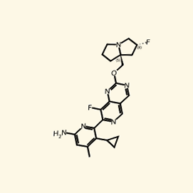 Cc1cc(N)nc(-c2ncc3cnc(OC[C@@]45CCCN4C[C@H](F)C5)nc3c2F)c1C1CC1